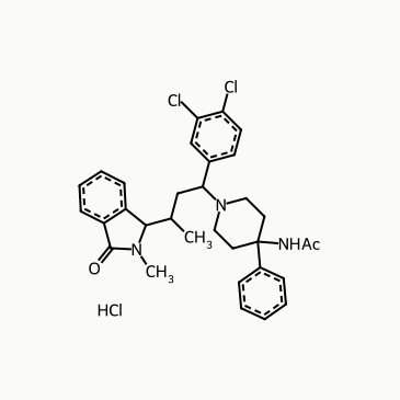 CC(=O)NC1(c2ccccc2)CCN(C(CC(C)C2c3ccccc3C(=O)N2C)c2ccc(Cl)c(Cl)c2)CC1.Cl